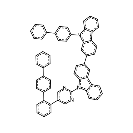 c1ccc(-c2ccc(-c3ccccc3-c3cnc(-n4c5ccccc5c5cc(-c6ccc7c8ccccc8n(-c8ccc(-c9ccccc9)cc8)c7c6)ccc54)nc3)cc2)cc1